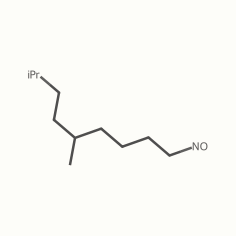 CC(C)CCC(C)CCCCN=O